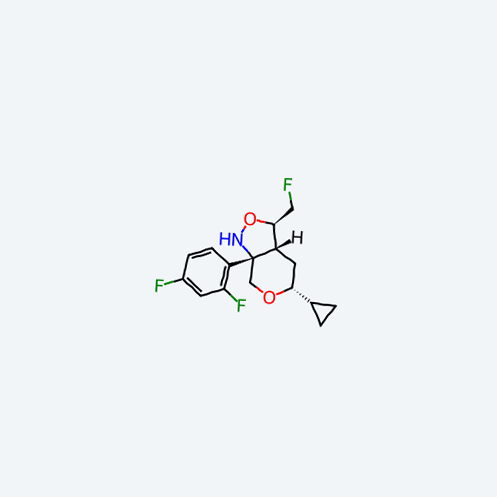 FC[C@@H]1ON[C@@]2(c3ccc(F)cc3F)CO[C@@H](C3CC3)C[C@@H]12